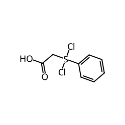 O=C(O)CS(Cl)(Cl)c1ccccc1